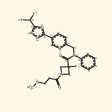 COCCC(=O)N1CC(F)(C(=O)N(Cc2ccc(-c3nnc(C(F)F)o3)cn2)c2ccccc2)C1